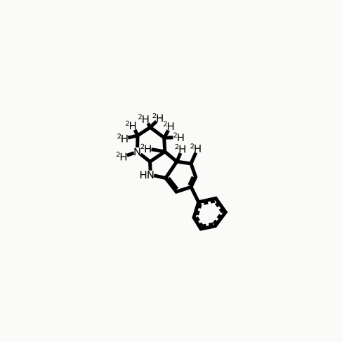 [2H]C1C=C(c2ccccc2)C=C2NC3N([2H])C([2H])([2H])C([2H])([2H])C([2H])([2H])C3([2H])C21[2H]